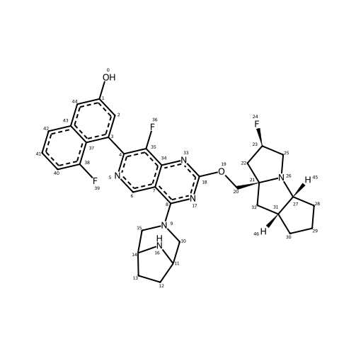 Oc1cc(-c2ncc3c(N4CC5CCC(C4)N5)nc(OC[C@@]45C[C@@H](F)CN4[C@@H]4CCC[C@@H]4C5)nc3c2F)c2c(F)cccc2c1